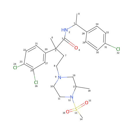 CC(NC(=O)C(C)(CCN1CCN(S(C)(=O)=O)C(C)C1)c1ccc(Cl)c(Cl)c1)c1ccc(Cl)cc1